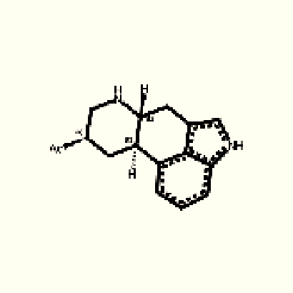 CC(=O)[C@H]1CN[C@@H]2Cc3c[nH]c4cccc(c34)[C@H]2C1